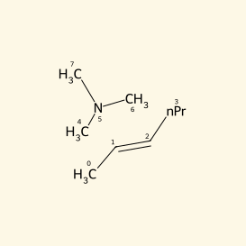 CC=CCCC.CN(C)C